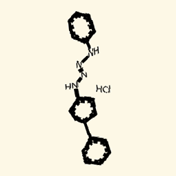 Cl.c1ccc(NN=NNc2ccc(-c3ccccc3)cc2)cc1